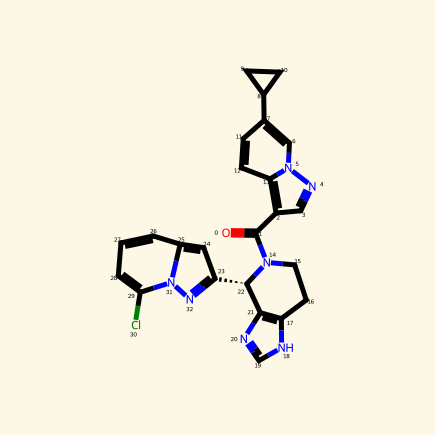 O=C(c1cnn2cc(C3CC3)ccc12)N1CCc2[nH]cnc2[C@@H]1c1cc2cccc(Cl)n2n1